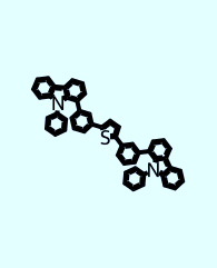 c1ccc(-n2c3ccccc3c3cccc(-c4cccc(-c5ccc(-c6cccc(-c7cccc8c9ccccc9n(-c9ccccc9)c78)c6)s5)c4)c32)cc1